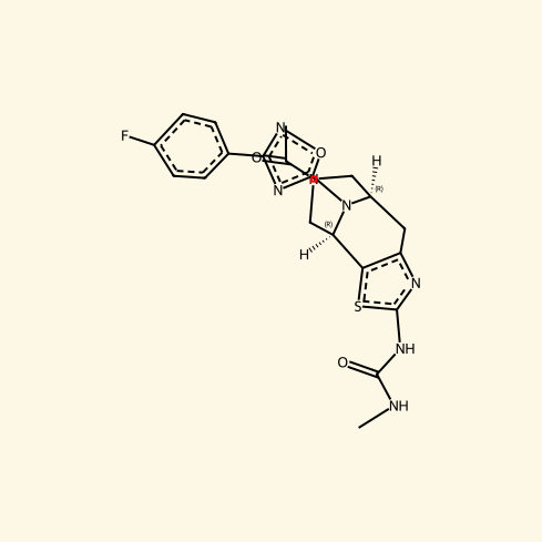 CNC(=O)Nc1nc2c(s1)[C@H]1CN(C(C)=O)C[C@@H](C2)N1c1nc(-c2ccc(F)cc2)no1